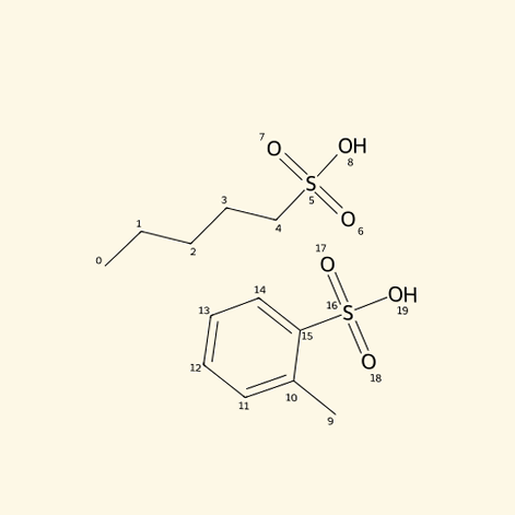 CCCCCS(=O)(=O)O.Cc1ccccc1S(=O)(=O)O